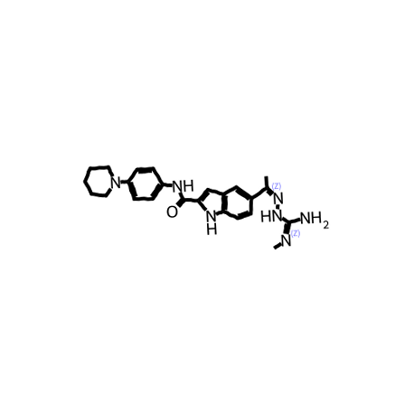 C/N=C(/N)N/N=C(/C)c1ccc2[nH]c(C(=O)Nc3ccc(N4CCCCC4)cc3)cc2c1